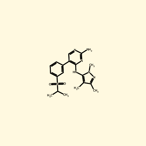 Cc1nn(C)c(Nc2nc(N)ncc2-c2cccc(S(=O)(=O)C(C)C)c2)c1C